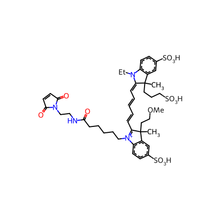 CCN1/C(=C/C=C/C=C/C2=[N+](CCCCCC(=O)NCCN3C(=O)C=CC3=O)c3ccc(S(=O)(=O)O)cc3C2(C)CCOC)C(C)(CCCS(=O)(=O)O)c2cc(S(=O)(=O)O)ccc21